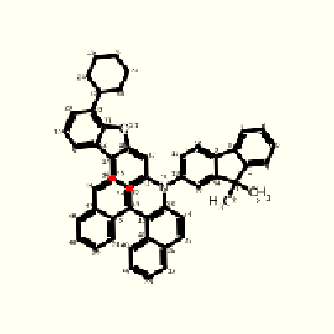 CC1(C)c2ccccc2-c2ccc(N(c3ccc4c(c3)oc3c(C5CCCCC5)cccc34)c3ccc4ccccc4c3-c3cccc4ccccc34)cc21